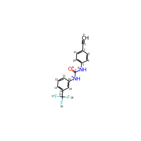 C#Cc1ccc(NC(=O)Nc2cccc(C(F)(F)F)c2)cc1